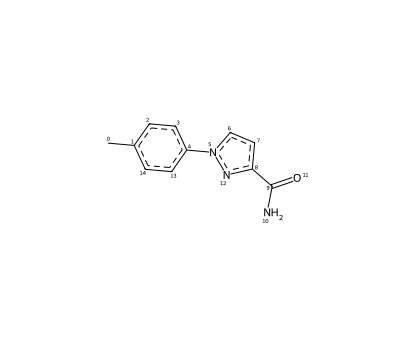 Cc1ccc(-n2ccc(C(N)=O)n2)cc1